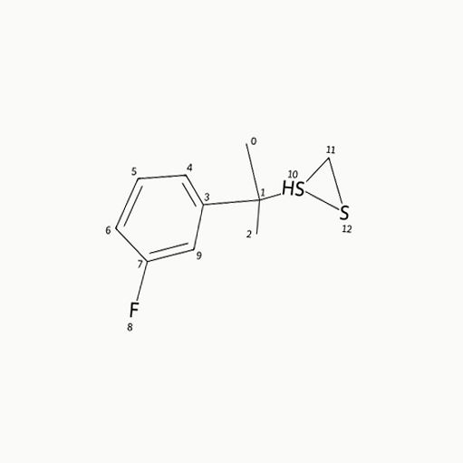 CC(C)(c1cccc(F)c1)[SH]1CS1